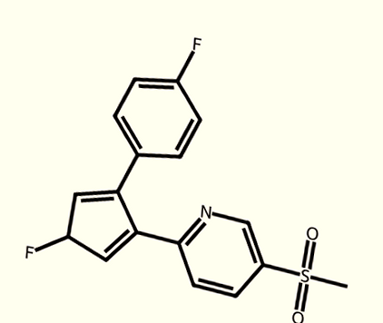 CS(=O)(=O)c1ccc(C2=CC(F)C=C2c2ccc(F)cc2)nc1